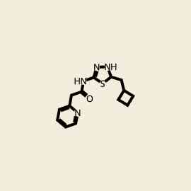 O=C(Cc1ccccn1)NC1=NNC(CC2CCC2)S1